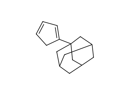 C1=CCC(C23CC4CC(CC(C4)C2)C3)=C1